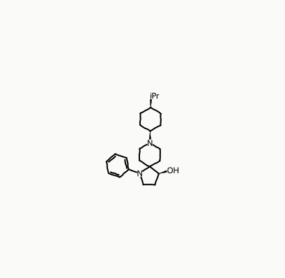 CC(C)[C@H]1CC[C@@H](N2CCC3(CC2)[C@@H](O)CCN3c2ccccc2)CC1